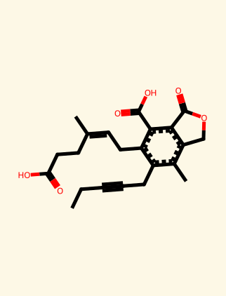 CCC#CCc1c(C)c2c(c(C(=O)O)c1CC=C(C)CCC(=O)O)C(=O)OC2